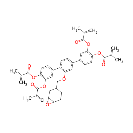 C=C(C)C(=O)Oc1ccc(-c2ccc(-c3ccc(OC(=O)C(=C)C)c(OC(=O)C(=C)C)c3)c(OCC3CCC4OC4C3)c2)cc1OC(=O)C(=C)C